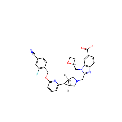 N#Cc1ccc(COc2cccc(C3[C@H]4CN(Cc5nc6ccc(C(=O)O)cc6n5C[C@@H]5CCO5)C[C@@H]34)n2)c(F)c1